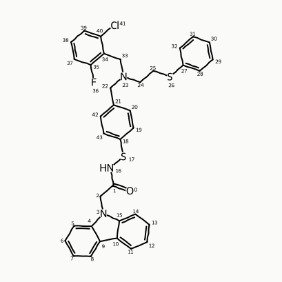 O=C(Cn1c2ccccc2c2ccccc21)NSc1ccc(CN(CCSc2ccccc2)Cc2c(F)cccc2Cl)cc1